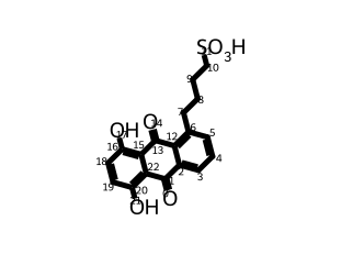 O=C1c2cccc(CCCCS(=O)(=O)O)c2C(=O)c2c(O)ccc(O)c21